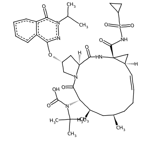 CC(C)n1nc(O[C@@H]2C[C@H]3C(=O)N[C@]4(C(=O)NS(=O)(=O)C5CC5)C[C@H]4C=CCC[C@@H](C)C[C@@H](C)[C@H](N(C(=O)O)C(C)(C)C)C(=O)N3C2)c2ccccc2c1=O